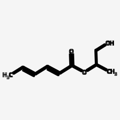 CC=CC=CC(=O)OC(C)CO